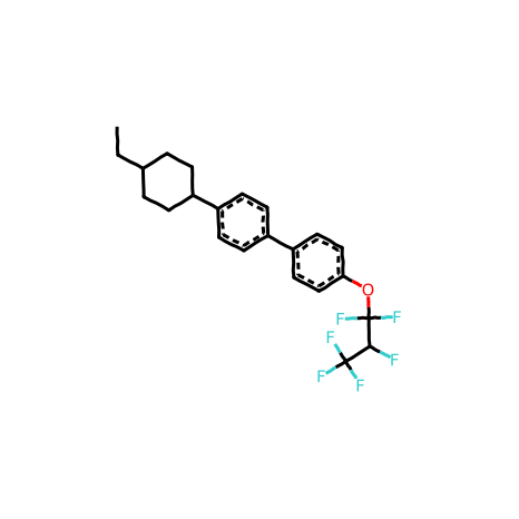 CCC1CCC(c2ccc(-c3ccc(OC(F)(F)C(F)C(F)(F)F)cc3)cc2)CC1